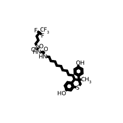 CC1(c2ccc(O)cc2)CSc2cc(O)ccc2C1CCCCCCCCCNC(=O)NS(=O)(=O)CCCC(F)(F)C(F)(F)F